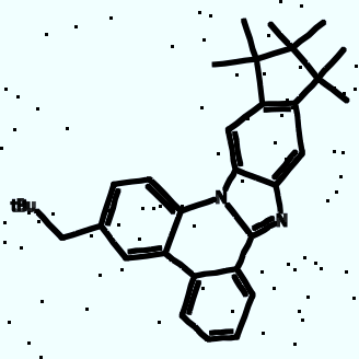 CC(C)(C)Cc1ccc2c(c1)c1ccccc1c1nc3cc4c(cc3n21)C(C)(C)C(C)(C)C4(C)C